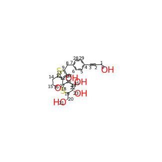 OCC#Cc1ccc(Cc2cc3c(s2)CCO[C@]32SC(CO)[C@@H](O)C(O)[C@H]2O)cc1